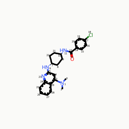 CN(C)c1cc(N[C@H]2CC[C@@H](NC(=O)c3ccc(Cl)cc3)CC2)nc2ccccc12